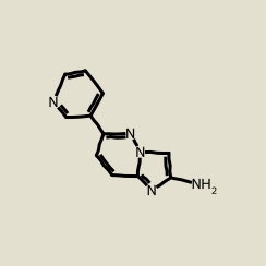 Nc1cn2nc(-c3cccnc3)ccc2n1